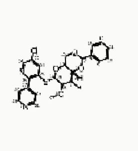 COC1C(C)[C@H]2OC(c3ccccc3)OCC2O[C@@H]1Sc1cc(Cl)cnc1-c1ccncc1